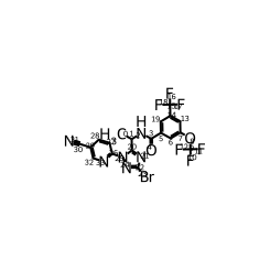 CC(NC(=O)c1cc(OC(F)(F)F)cc(C(F)(F)F)c1)c1nc(Br)nn1-c1ccc(C#N)cn1